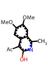 COc1cc2c(C)nc(O)c(C(C)=O)c2cc1OC